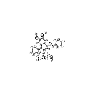 COCCC(O)(CCOC)c1cc(OCc2ccccc2)c2cc(OC)c(OC)cc2c1-c1ccccc1